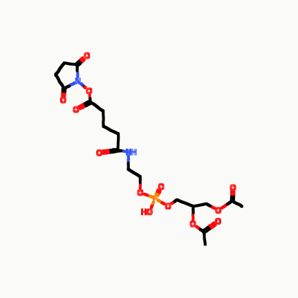 CC(=O)OCC(COP(=O)(O)OCCNC(=O)CCCC(=O)ON1C(=O)CCC1=O)OC(C)=O